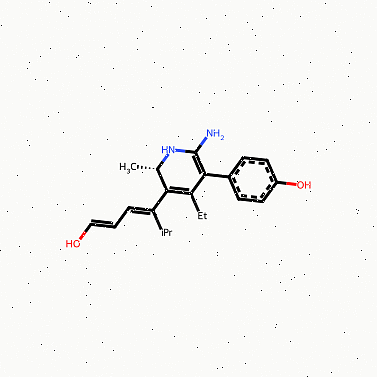 CCC1=C(/C(=C/C=C/O)C(C)C)[C@H](C)NC(N)=C1c1ccc(O)cc1